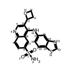 NS(=O)(=O)c1ccc2ncc(C3CCO3)c(Nc3ccc4scnc4c3)c2c1